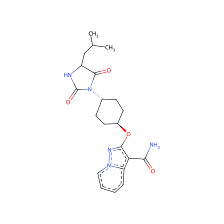 CC(C)CC1NC(=O)N([C@H]2CC[C@H](Oc3nn4ccccc4c3C(N)=O)CC2)C1=O